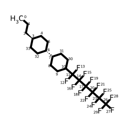 CCC[C@H]1CC[C@H](C2CCC(C(F)(F)C(F)(F)C(F)(F)C(F)(F)C(F)(F)C(F)(F)F)CC2)CC1